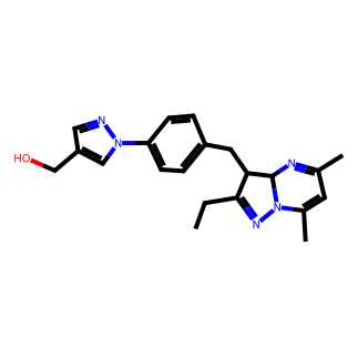 CCC1=NN2C(C)=CC(C)=NC2C1Cc1ccc(-n2cc(CO)cn2)cc1